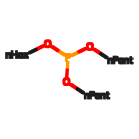 CCCCCCOP(OCCCCC)OCCCCC